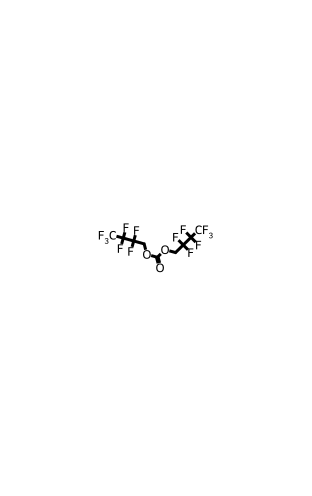 O=C(OCC(F)(F)C(F)(F)C(F)(F)F)OCC(F)(F)C(F)(F)C(F)(F)F